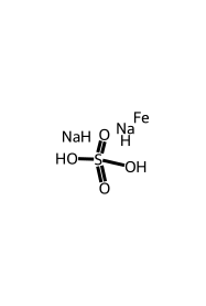 O=S(=O)(O)O.[Fe].[NaH].[NaH]